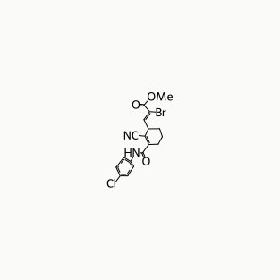 COC(=O)C(Br)=CC1CCCC(C(=O)Nc2ccc(Cl)cc2)=C1C#N